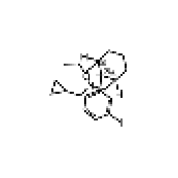 CCO[C@@]1(c2cccc(I)c2)[C@@H]2CCC[C@H]1CN(CC1CC1)C2